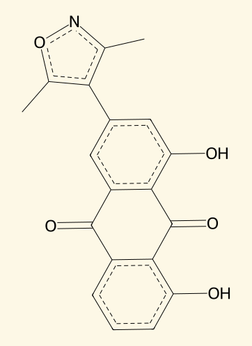 Cc1noc(C)c1-c1cc(O)c2c(c1)C(=O)c1cccc(O)c1C2=O